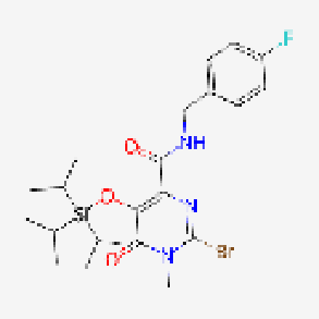 CC(C)[Si](Oc1c(C(=O)NCc2ccc(F)cc2)nc(Br)n(C)c1=O)(C(C)C)C(C)C